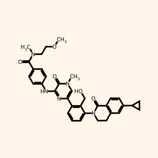 COCCN(C)C(=O)c1ccc(Nc2nc(-c3cccc(N4CCc5cc(C6CC6)ccc5C4=O)c3CO)cn(C)c2=O)cc1